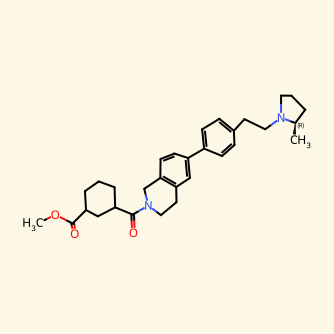 COC(=O)C1CCCC(C(=O)N2CCc3cc(-c4ccc(CCN5CCC[C@H]5C)cc4)ccc3C2)C1